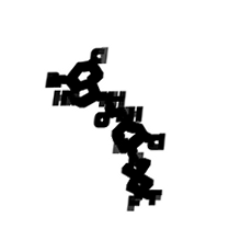 O=C(Nc1cnc(N2CC3(C2)CC(F)(F)C3)c(Cl)c1)Nc1c[nH]c2c(Br)cc(Cl)cc12